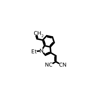 C=Cc1cccc2c(C=C(C#N)C#N)cn(CC)c12